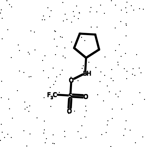 O=S(=O)(OBC1CCCC1)C(F)(F)F